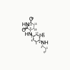 CCCNc1ccc(NC2CCC(=O)NC2=O)cc1F